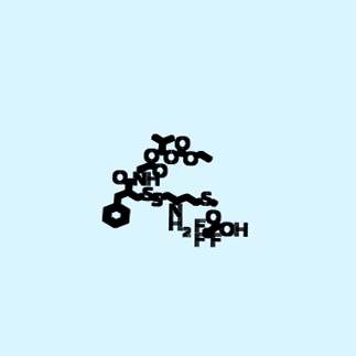 CCOC(=O)OC(OC(=O)CNC(=O)C(CSSCC(N)CCSC)Cc1ccccc1)C(C)C.O=C(O)C(F)(F)F